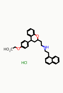 Cl.O=C(O)COc1ccc(C2CC(CCNCCc3cccc4ccccc34)Oc3ccccc32)cc1